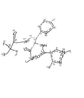 CNC(=O)C(NC(=O)c1cn(C)nc1F)[C@H](CNC(=O)C(F)(F)F)c1ccccc1